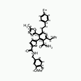 COc1cc(CNC(=O)c2ccc(-c3c(C(N)=O)c(CC(C)C)nc(CCc4ccc(F)cc4)c3-c3nnc(C)o3)s2)ccc1F